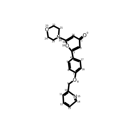 O=c1cc(-c2ccc(OCc3ccccn3)cc2)oc(N2CCOCC2)c1